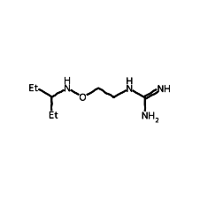 CCC(CC)NOCCNC(=N)N